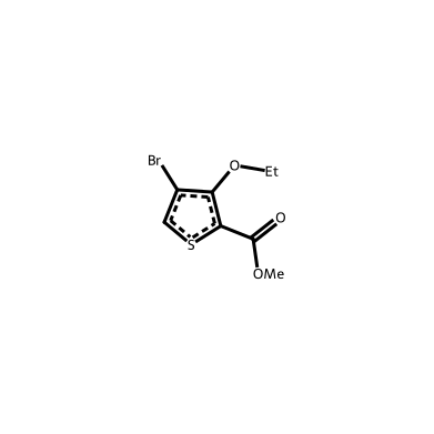 CCOc1c(Br)csc1C(=O)OC